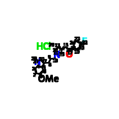 COc1ccc2c(c1)c(CCCN1CCC(CC(=O)c3ccc(F)cc3)C1)cn2C.Cl